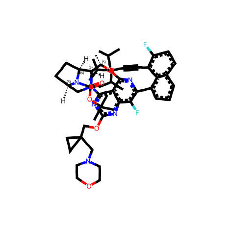 CC(C)[Si](C#Cc1c(F)ccc2cccc(-c3nc4c5c(nc(OCC6(CN7CCOCC7)CC6)nc5c3F)N3C[C@H]5CC[C@@H]([C@H]3[C@H](C)O4)N5C(=O)OC(C)(C)C)c12)(C(C)C)C(C)C